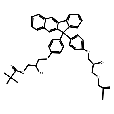 C=C(C)COCC(O)COc1ccc(C2(c3ccc(OCC(O)COC(=O)C(C)(C)C)cc3)c3ccccc3-c3cc4ccccc4cc32)cc1